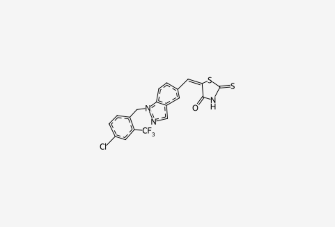 O=C1NC(=S)SC1=Cc1ccc2c(cnn2Cc2ccc(Cl)cc2C(F)(F)F)c1